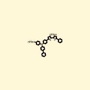 CCCCCCc1ccc(N(c2ccc(-c3ccccc3)cc2)c2ccc(-c3cc(CCCCCC)c(-c4ccc(-c5ccccc5)s4)s3)cc2)cc1